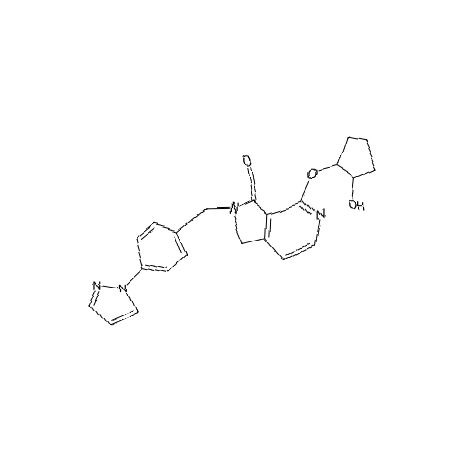 O=C1c2c(ccnc2OC2CCCC2O)CN1Cc1ccc(-n2cccn2)cc1